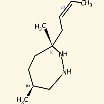 C/C=C\C[C@@]1(C)CC[C@H](C)CNN1